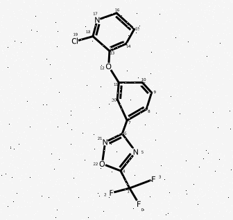 FC(F)(F)c1nc(-c2cc[c]c(Oc3cccnc3Cl)c2)no1